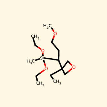 CCO[Si](C)(OCC)C(CCOC)C1(CC)COC1